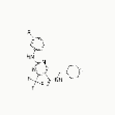 C=C(NCC1CCOCC1)c1cnc(Nc2cccc(F)c2)nc1C(F)(F)F